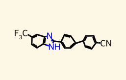 N#Cc1ccc(-c2ccc(-c3nc4cc(C(F)(F)F)ccc4[nH]3)cc2)cc1